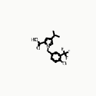 CC(C)c1cc(C(=O)O)n(Cc2ccc(Cl)c(C(F)(F)F)c2)c1